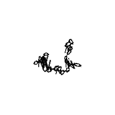 c1ccc(-c2nc(-c3ccccc3)nc(-c3ccc4ccc(-c5ccc6ccc(-c7cccc(-c8cccc(-c9nc(-c%10ccccc%10)nc(-c%10ccc%11ccc(-c%12ccc%13ccc(-c%14cccc%15ccccc%14%15)nc%13c%12)cc%11n%10)n9)c8)c7)nc6c5)cc4n3)n2)cc1